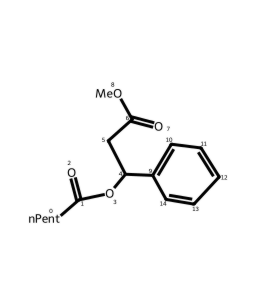 CCCCCC(=O)OC(CC(=O)OC)c1ccccc1